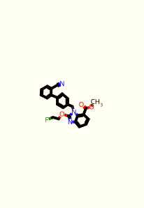 COC(=O)c1cccc2nc(OCCF)n(Cc3ccc(-c4ccccc4C#N)cc3)c12